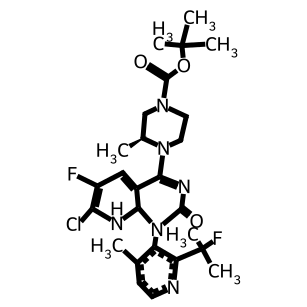 Cc1ccnc(C(C)(C)F)c1N1C(=O)N=C(N2CCN(C(=O)OC(C)(C)C)C[C@@H]2C)C2=CC(F)=C(Cl)NC21